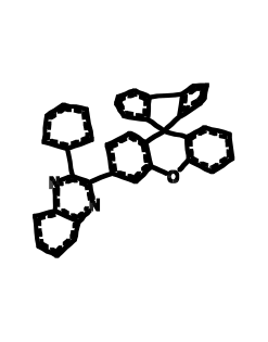 c1ccc(-c2nc3ccccc3nc2-c2ccc3c(c2)Oc2ccccc2C32c3ccccc3-c3ccccc32)cc1